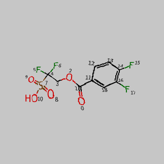 O=C(OCC(F)(F)S(=O)(=O)O)c1ccc(F)c(F)c1